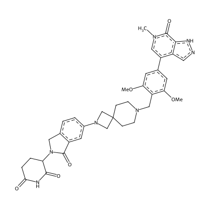 COc1cc(-c2cn(C)c(=O)c3[nH]ncc23)cc(OC)c1CN1CCC2(CC1)CN(c1ccc3c(c1)C(=O)N(C1CCC(=O)NC1=O)C3)C2